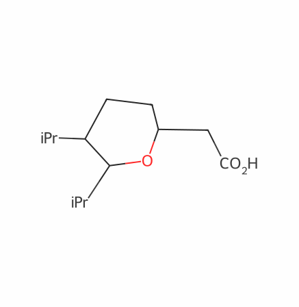 CC(C)C1CCC(CC(=O)O)OC1C(C)C